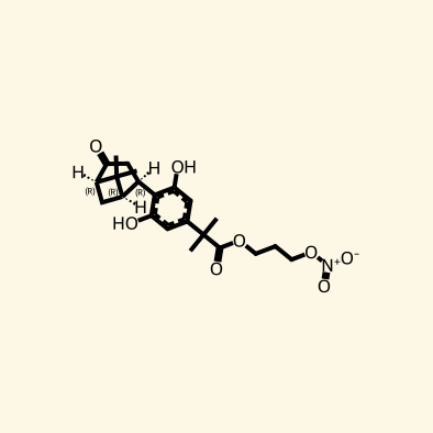 CC(C)(C(=O)OCCCO[N+](=O)[O-])c1cc(O)c([C@@H]2CC(=O)[C@@H]3C[C@H]2C3(C)C)c(O)c1